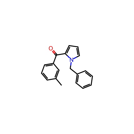 Cc1cccc(C(=O)c2cccn2Cc2ccccc2)c1